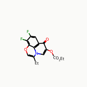 CCOC(=O)Oc1cn2c3c(c(F)c(F)cc3c1=O)OC=C2CC